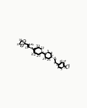 Clc1ccc(CC[C@H]2CC[C@H]([C@H]3CC[C@H](CCC4OCCO4)CC3)CC2)cc1